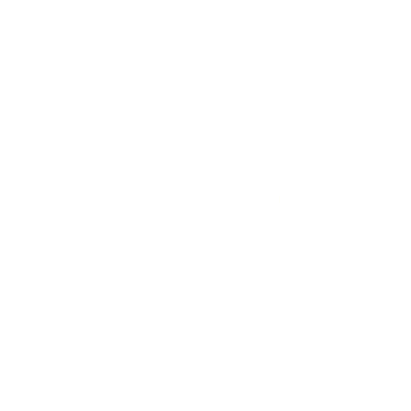 O=S(=O)(O)C(F)C(F)C(F)C(F)C(F)C(F)C(F)C(F)C(F)F